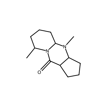 CC1CCCC2N(C)C3CCCC3C(=O)N12